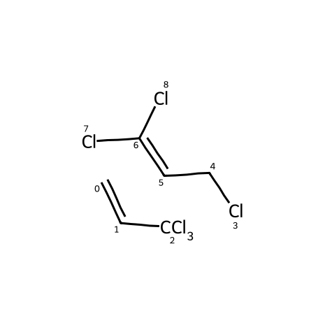 C=CC(Cl)(Cl)Cl.ClCC=C(Cl)Cl